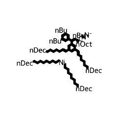 CCCCCCCCCCCCCCCC=Cc1cc(C=CCCCCCCCCCCCCCCC)cc(C(=C(CCCC)C(=C=[N+]=[N-])CCCCCCCC)c2cc(CCCC)cc(CCCC)c2)c1.CCCCCCCCCCCCCCCCCC[CH2][Ni][CH2]CCCCCCCCCCCCCCCCCC